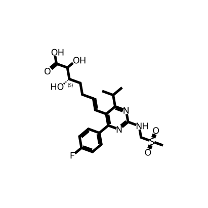 CC(C)c1nc(NCS(C)(=O)=O)nc(-c2ccc(F)cc2)c1C=CCC[C@H](O)C(O)C(=O)O